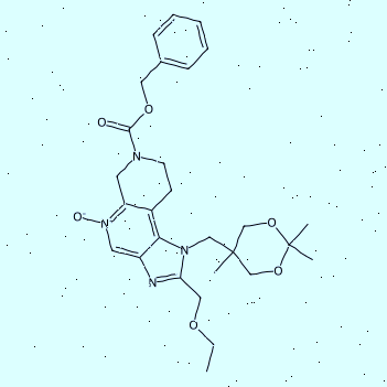 CCOCc1nc2c[n+]([O-])c3c(c2n1CC1(C)COC(C)(C)OC1)CCN(C(=O)OCc1ccccc1)C3